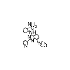 NC(=O)c1ccccc1Nc1nc(-c2cccnc2)nc2c(CN3CCOCC3)cccc12